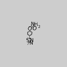 Cc1nnc(-c2ccc(OC(N)=O)cc2)s1